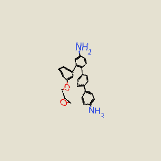 Nc1ccc(-c2ccc(-c3ccc(N)cc3-c3cccc(OCC4CO4)c3)cc2)cc1